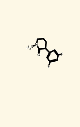 NN1CCCC(c2cc(F)cc(F)c2)C1=O